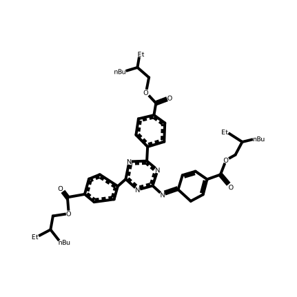 CCCCC(CC)COC(=O)C1=CCC(=Nc2nc(-c3ccc(C(=O)OCC(CC)CCCC)cc3)nc(-c3ccc(C(=O)OCC(CC)CCCC)cc3)n2)C=C1